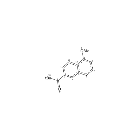 COc1cccc2cc(C(=O)C(C)(C)C)ccc12